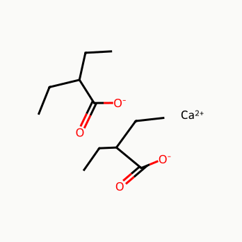 CCC(CC)C(=O)[O-].CCC(CC)C(=O)[O-].[Ca+2]